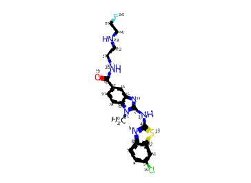 Cn1c(Nc2nc3ccc(Cl)cc3s2)nc2cc(C(=O)NCCNCCF)ccc21